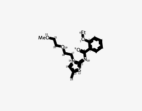 CCOc1ccccc1C(=O)N=c1sc(C)cn1CCOCCOC